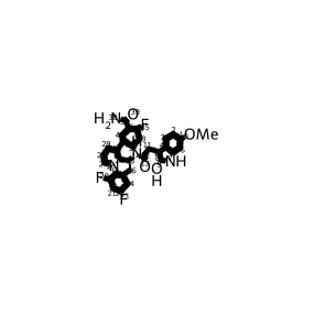 COc1ccc2c(c1)NC(O)C2CC(=O)N[C@@H](Cc1cc(F)cc(F)c1)c1ncccc1-c1ccc(F)c(C(N)=O)c1